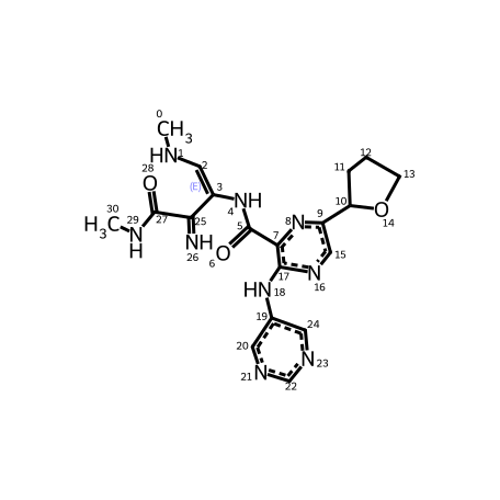 CN/C=C(/NC(=O)c1nc(C2CCCO2)cnc1Nc1cncnc1)C(=N)C(=O)NC